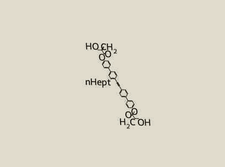 C=C(CO)C(=O)Oc1ccc(-c2ccc(C#Cc3ccc(-c4ccc(OC(=O)C(=C)CO)cc4)cc3CCCCCCC)cc2)cc1